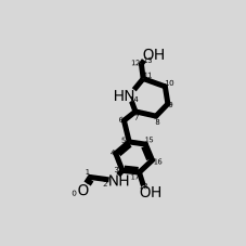 O=CNc1cc(CC2CCCC(CO)N2)ccc1O